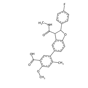 CNC(=O)C1c2cc(-c3cc(C(=O)O)c(OC)cc3C)ccc2OC1c1ccc(F)cc1